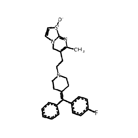 CC1=C(CCN2CCC(=C(c3ccccc3)c3ccc(F)cc3)CC2)CN2C=C[S+]([O-])C2=N1